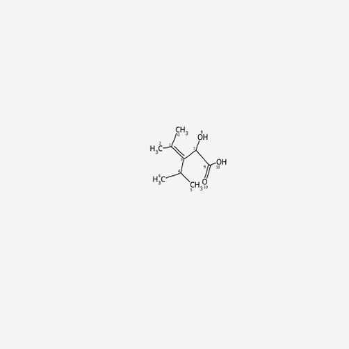 CC(C)=C(C(C)C)C(O)C(=O)O